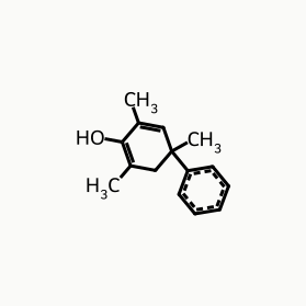 CC1=CC(C)(c2ccccc2)CC(C)=C1O